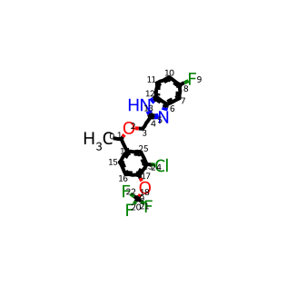 CC(OCc1nc2cc(F)ccc2[nH]1)c1ccc(OC(F)(F)F)c(Cl)c1